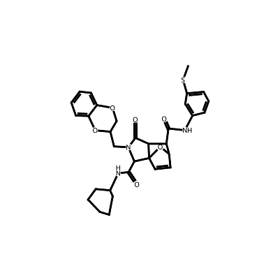 CSc1cccc(NC(=O)C2C3C=CC4(O3)C2C(=O)N(CC2COc3ccccc3O2)C4C(=O)NC2CCCCC2)c1